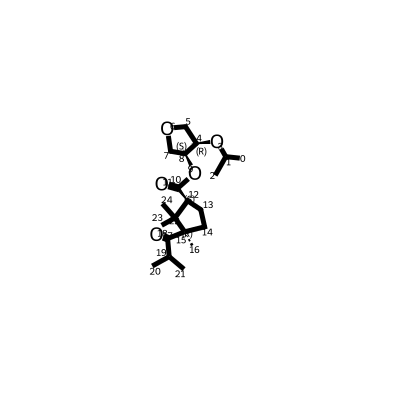 CC(C)O[C@@H]1COC[C@@H]1OC(=O)[C@H]1CC[C@@](C)(C(=O)C(C)C)C1(C)C